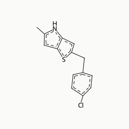 Cc1cc2sc(Cc3ccc(Cl)cc3)cc2[nH]1